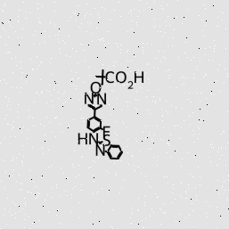 CC(C)(COc1ncc(-c2ccc(Nc3nc4ccccc4s3)c(F)c2)cn1)C(=O)O